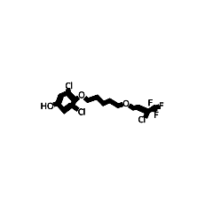 Oc1cc(Cl)c(OCCCCCOC/C=C(\Cl)C(F)(F)F)c(Cl)c1